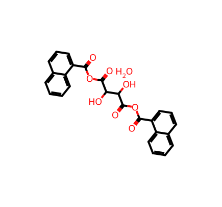 O.O=C(OC(=O)C(O)C(O)C(=O)OC(=O)c1cccc2ccccc12)c1cccc2ccccc12